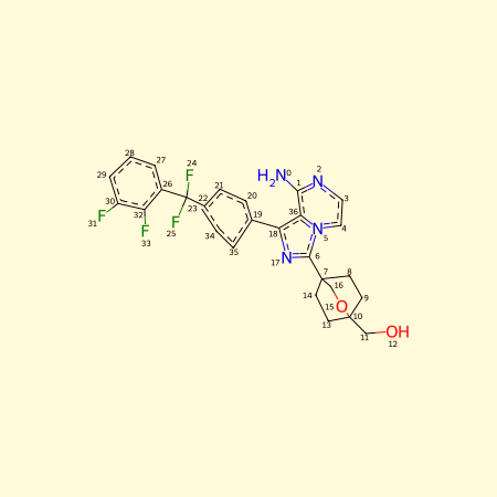 Nc1nccn2c(C34CCC(CO)(CC3)OC4)nc(-c3ccc(C(F)(F)c4cccc(F)c4F)cc3)c12